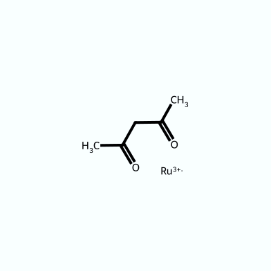 CC(=O)CC(C)=O.[Ru+3]